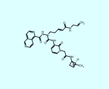 C=CCNC(=O)/C=C/CC[C@H](NC(=O)c1nccc2cnccc12)C(=O)Nc1cccn(CC(=O)NC23CC(C2)[C@@H]3C)c1=O